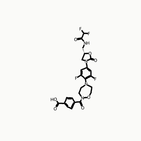 O=C(O)c1ccc(C(=O)N2CCN(c3c(F)cc(N4C[C@H](CNC(=O)C(F)F)OC4=O)cc3F)CCO2)cc1